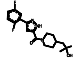 CC(C)(O)CC1CCN(C(=O)c2cc(-c3cc(F)ccc3F)n[nH]2)CC1